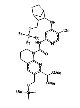 CC[Si](CC)(CC)OCC1C2CCC(C2)C1Nc1cc(NC(=O)N2CCCc3cc(CO[Si](C)(C)C(C)(C)C)c(C(OC)OC)nc32)ncc1C#N